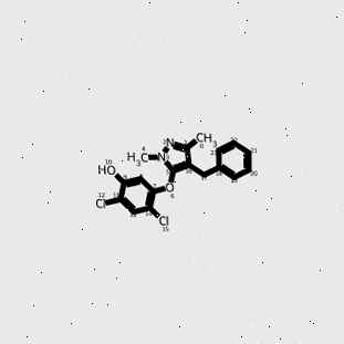 Cc1nn(C)c(Oc2cc(O)c(Cl)cc2Cl)c1Cc1ccccc1